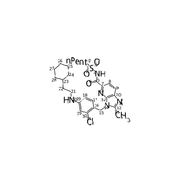 CCCCCS(=O)(=O)NC(=O)c1ccc2nc(C)n(Cc3ccc(NCCC4CCCCC4)cc3Cl)c2n1